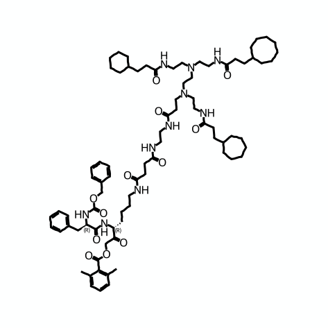 Cc1cccc(C)c1C(=O)OCC(=O)[C@@H](CCCCNC(=O)CCC(=O)NCCNC(=O)CCN(CCNC(=O)CCC1CCCCCC1)CCN(CCNC(=O)CCC1CCCCCCC1)CCNC(=O)CCC1CCCCC1)NC(=O)[C@@H](Cc1ccccc1)NC(=O)OCc1ccccc1